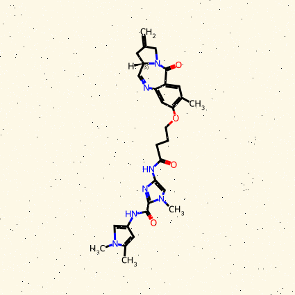 C=C1C[C@H]2C=Nc3cc(OCCCC(=O)Nc4cn(C)c(C(=O)Nc5cc(C)n(C)c5)n4)c(C)cc3C(=O)N2C1